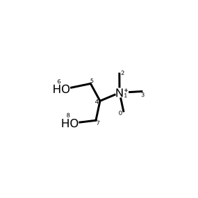 C[N+](C)(C)C(CO)CO